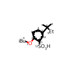 CCC(C)Oc1ccc(C(C)(C)CC)cc1S(=O)(=O)O